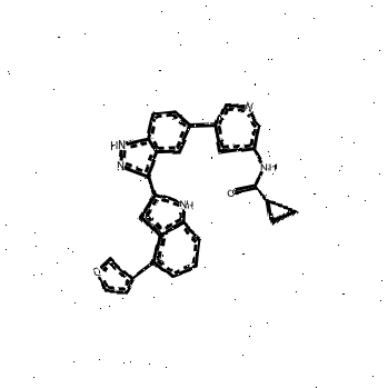 O=C(Nc1cncc(-c2ccc3[nH]nc(-c4cc5c(-c6ccoc6)cccc5[nH]4)c3c2)c1)C1CC1